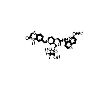 COc1ccc2nccc(NC(=O)C[C@@H]3CCN(Cc4ccc5c(c4)NC(=O)CS5)C[C@@H]3CC(=O)O)c2n1.O=C(O)C(F)(F)F